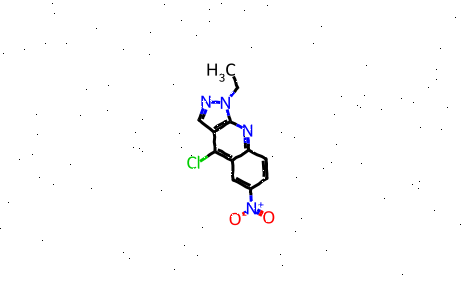 CCn1ncc2c(Cl)c3cc([N+](=O)[O-])ccc3nc21